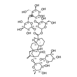 C=C1C[C@@]23CC[C@H]4[C@@](C)(CCC[C@@]4(C)C(=O)OC4O[C@H](CO)[C@@H](O)[C@H](O[C@@H]5O[C@H](CO)[C@@H](O)[C@H](O)[C@H]5O)[C@H]4O[C@@H]4O[C@H](CO)[C@@H](O)[C@H](O)[C@H]4O)[C@@H]2CC[C@]1(O[C@@H]1O[C@H](C)[C@@H](O)[C@H](O)[C@H]1O[C@@H]1OC[C@@H](O)[C@H](O)[C@H]1O)C3